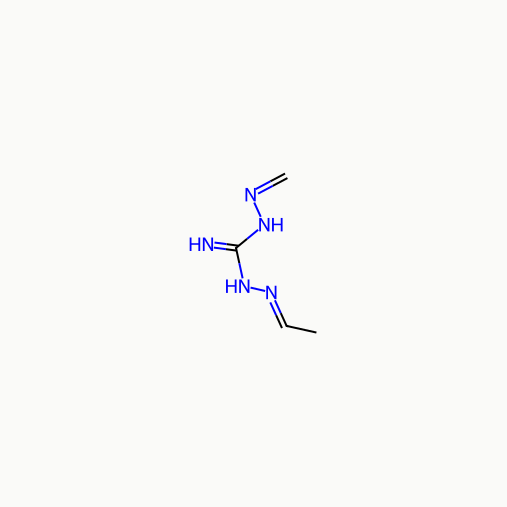 C=NNC(=N)N/N=C/C